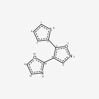 [c]1noc(-c2cccs2)c1-c1ncco1